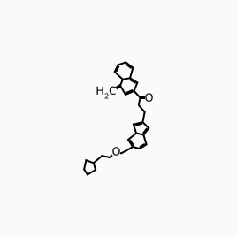 C=C1C=C(C(=O)CCC2=CC3C=C(COCCC4CCCC4)C=CC3=C2)C=C2C=CC=CC12